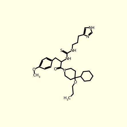 CCCOC1(C2CCCCC2)CCN(C(=O)C(Cc2ccc(OC)cc2)NC(=S)NCCCc2c[nH]cn2)CC1